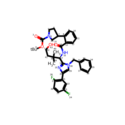 CC(C)(C)OC(=O)N1CCC(c2ccccc2C(=O)N[C@@H](c2nc(-c3cc(F)ccc3F)cn2Cc2ccccc2)C(C)(C)CCO)C1